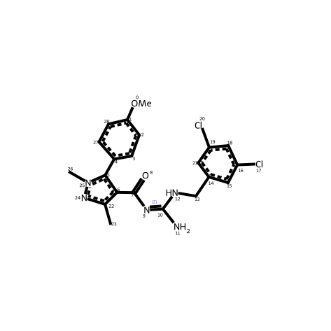 COc1ccc(-c2c(C(=O)/N=C(/N)NCc3cc(Cl)cc(Cl)c3)c(C)nn2C)cc1